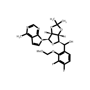 COCOc1c(C(O)[C@H]2O[C@@H](n3ccc4c(C)ncnc43)[C@@H]3OC(C)(C)O[C@@H]32)ccc(F)c1F